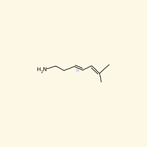 CC(C)=C/C=C/CCN